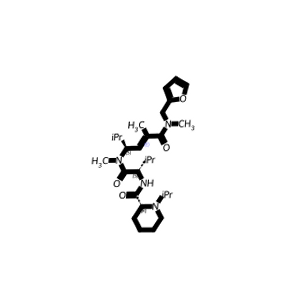 C/C(=C\[C@H](C(C)C)N(C)C(=O)[C@@H](NC(=O)[C@H]1CCCCN1C(C)C)C(C)C)C(=O)N(C)Cc1ccco1